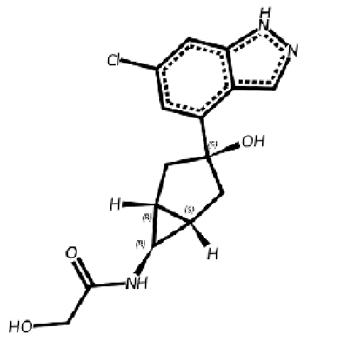 O=C(CO)N[C@H]1[C@@H]2C[C@](O)(c3cc(Cl)cc4[nH]ncc34)C[C@@H]21